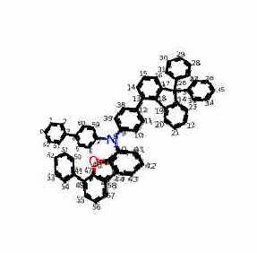 c1ccc(-c2ccc(N(c3ccc(-c4cccc5c4-c4ccccc4C5(c4ccccc4)c4ccccc4)cc3)c3cccc4c3oc3c(-c5ccccc5)cccc34)cc2)cc1